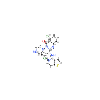 CC(NC1c2ccsc2CCN1Cl)c1nc2cccc(Cl)c2c(=O)n1N1CCNCC1